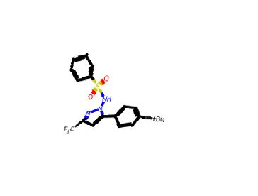 CC(C)(C)c1ccc(-c2cc(C(F)(F)F)nn2NS(=O)(=O)c2ccccc2)cc1